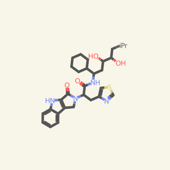 CC(C)CC(O)C(O)CC(NC(=O)C(Cc1cscn1)N1Cc2c([nH]c3ccccc23)C1=O)C1CCCCC1